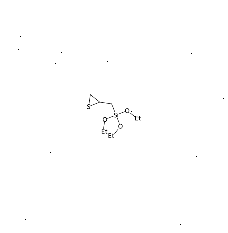 CCO[Si](CC1CS1)(OCC)OCC